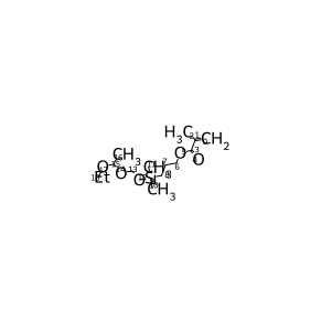 C=C(C)C(=O)OCCC[Si](C)(C)OCOC(C)OCC